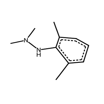 Cc1cccc(C)c1NN(C)C